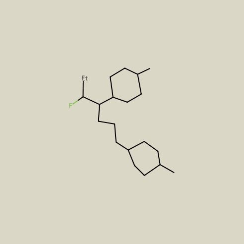 CCC(F)C(CCCC1CCC(C)CC1)C1CCC(C)CC1